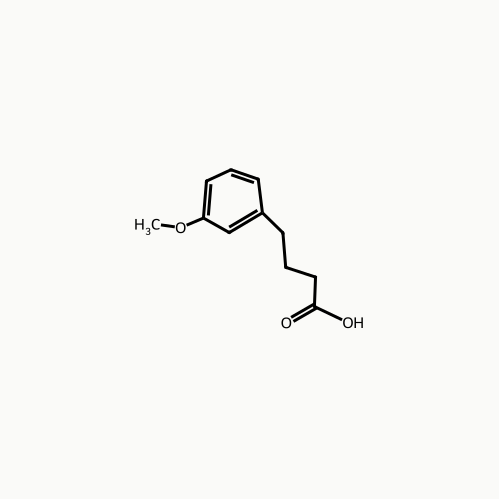 COc1cccc(CCCC(=O)O)c1